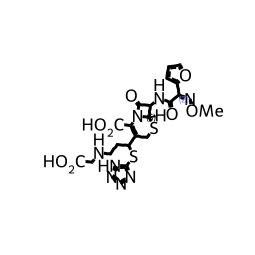 CO/N=C(\C(=O)NC1C(=O)N2C(C(=O)O)=C(C(CCNCC(=O)O)Sc3nnn[nH]3)CS[C@@H]12)c1ccco1